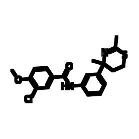 COc1ccc(C(=O)Nc2cccc(C3(C)CCSC(C)=N3)c2)cc1Cl